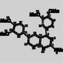 CNc1nc(-c2ccc(OC)c(OC)c2)c2cc(-c3ccc(OC)c(OC)c3)ccc2n1